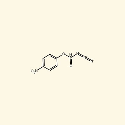 [N-]=[N+]=N[PH](=O)Oc1ccc([N+](=O)[O-])cc1